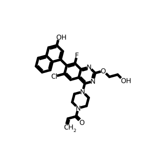 C=CC(=O)N1CCN(c2nc(OCCO)nc3c(F)c(-c4cc(O)cc5ccccc45)c(Cl)cc23)CC1